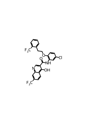 O=C(Nc1cc(Cl)ccc1OCCc1ccccc1C(F)(F)F)c1cnc2cc(C(F)(F)F)ccc2c1O